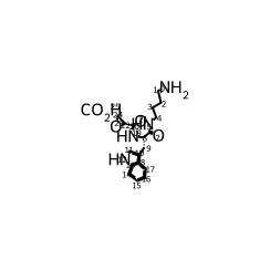 NCCCCNC(=O)[C@H](Cc1c[nH]c2ccccc12)NC(=O)[C@H]1O[C@@H]1C(=O)O